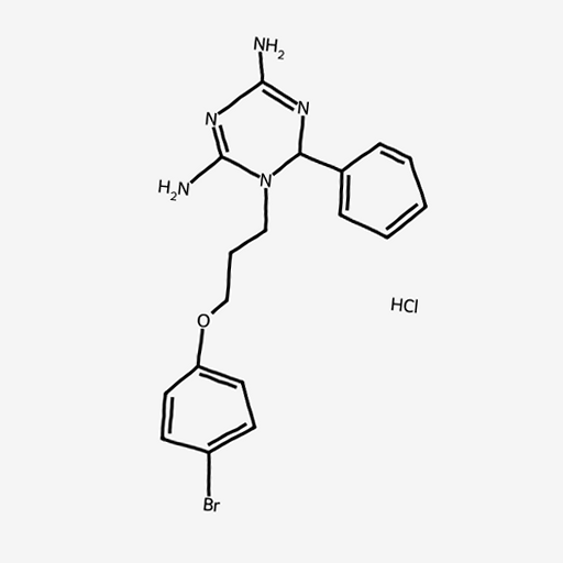 Cl.NC1=NC(c2ccccc2)N(CCCOc2ccc(Br)cc2)C(N)=N1